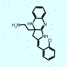 NCCC12C/C(=C/c3ccccc3Cl)NC1=Nc1ccccc1N2